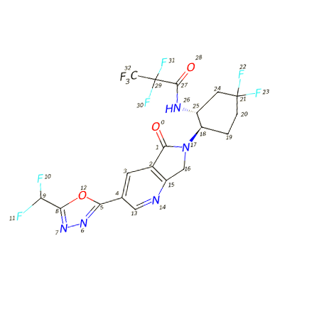 O=C1c2cc(-c3nnc(C(F)F)o3)cnc2CN1[C@@H]1CCC(F)(F)C[C@H]1NC(=O)C(F)(F)C(F)(F)F